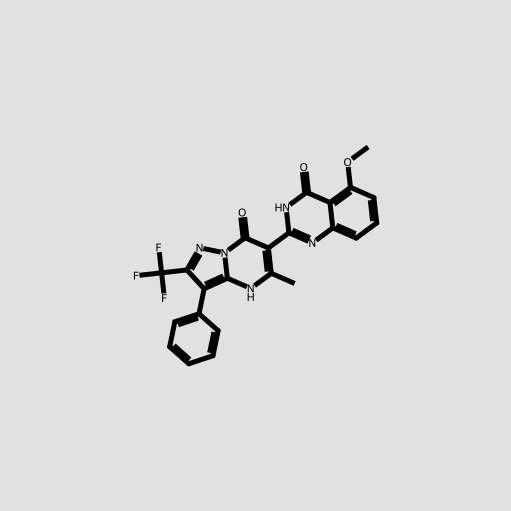 COc1cccc2nc(-c3c(C)[nH]c4c(-c5ccccc5)c(C(F)(F)F)nn4c3=O)[nH]c(=O)c12